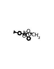 CCOC(=O)c1nc(-c2ccc(C3CC3)cc2)oc1-c1ccccc1